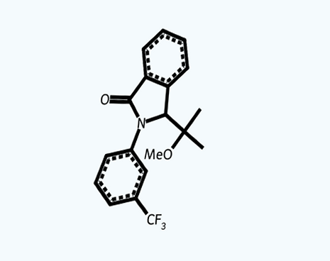 COC(C)(C)C1c2ccccc2C(=O)N1c1cccc(C(F)(F)F)c1